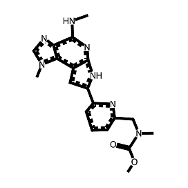 CNc1nc2[nH]c(-c3cccc(CN(C)C(=O)OC)n3)cc2c2c1ncn2C